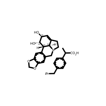 CC(C)Cc1ccc(C(C)C(=O)O)cc1.O[C@H]1[C@H]2c3cc4c(cc3CN3CCC(=C[C@@H]1O)[C@H]23)OCO4